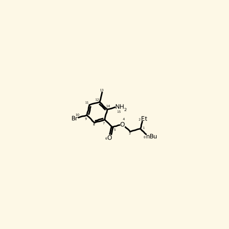 CCCCC(CC)COC(=O)c1cc(Br)cc(C)c1N